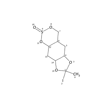 CC1(I)OC2CC3COS(=O)OC3CC2O1